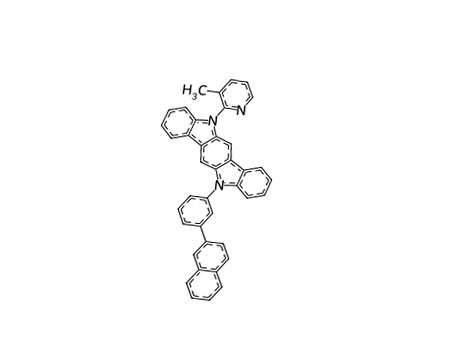 Cc1cccnc1-n1c2ccccc2c2cc3c(cc21)c1ccccc1n3-c1cccc(-c2ccc3ccccc3c2)c1